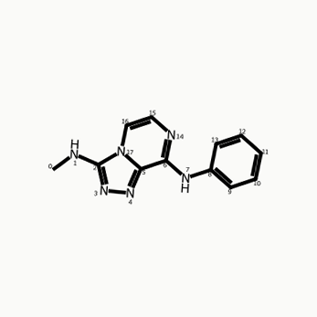 CNc1nnc2c(Nc3ccccc3)nccn12